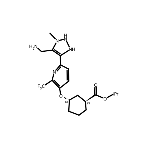 CC(C)OC(=O)[C@H]1CCC[C@H](Oc2ccc(C3=C(CN)N(C)NN3)nc2C(F)(F)F)C1